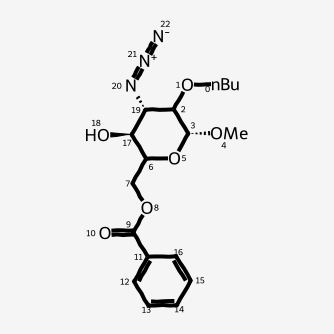 CCCCOC1[C@H](OC)OC(COC(=O)c2ccccc2)[C@@H](O)[C@@H]1N=[N+]=[N-]